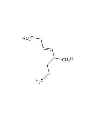 C=CCC(C=CCC(=O)O)C(=O)O